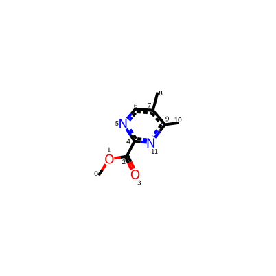 COC(=O)c1ncc(C)c(C)n1